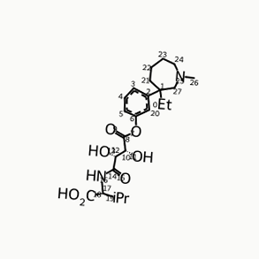 CCC1(c2cccc(OC(=O)[C@H](O)[C@@H](O)C(=O)N[C@H](C(=O)O)C(C)C)c2)CCCCN(C)C1